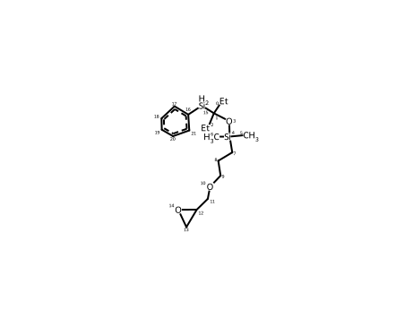 CCC(CC)(O[Si](C)(C)CCCOCC1CO1)[SiH2]c1ccccc1